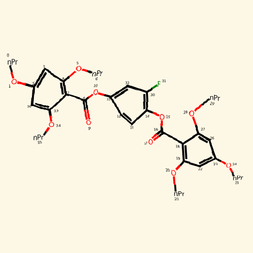 CCCOc1cc(OCCC)c(C(=O)Oc2ccc(OC(=O)c3c(OCCC)cc(OCCC)cc3OCCC)c(F)c2)c(OCCC)c1